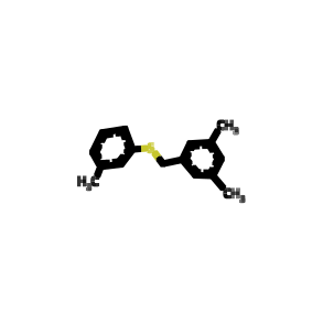 Cc1cc(C)cc(CSc2cccc(C)c2)c1